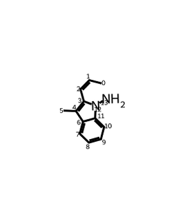 C/C=C\c1c(C)c2ccccc2n1N